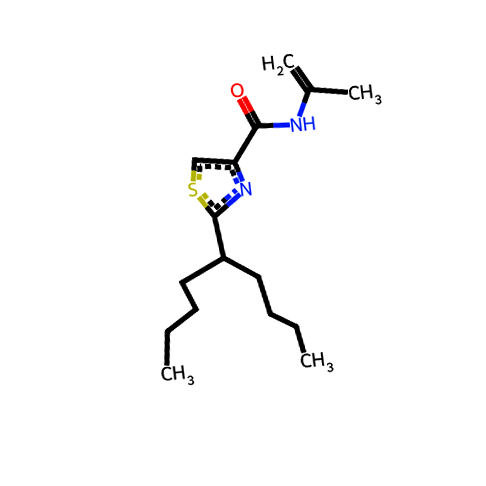 C=C(C)NC(=O)c1csc(C(CCCC)CCCC)n1